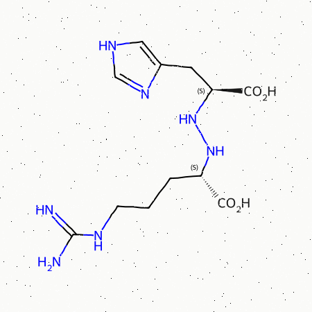 N=C(N)NCCC[C@H](NN[C@@H](Cc1c[nH]cn1)C(=O)O)C(=O)O